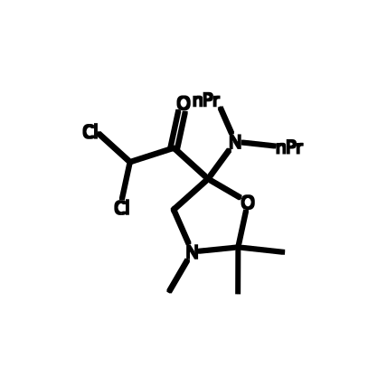 CCCN(CCC)C1(C(=O)C(Cl)Cl)CN(C)C(C)(C)O1